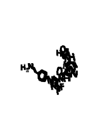 NCC[C@H]1CC[C@H](n2cc(NC(=O)c3cnn4ccc(N5C[C@H]6C[C@@H]5CO6)nc34)c(C(F)F)n2)CC1